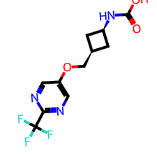 O=C(O)N[C@H]1C[C@@H](COc2cnc(C(F)(F)F)nc2)C1